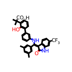 Cc1cc(C)cc(C(Nc2cccc(-c3cccc(C(C)(C)C(=O)O)c3O)c2)=C2C(=O)Nc3cc(C(F)(F)F)ccc32)c1